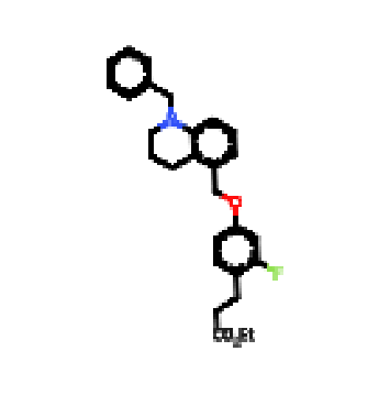 CCOC(=O)CCc1ccc(OCc2cccc3c2CCCN3Cc2ccccc2)cc1F